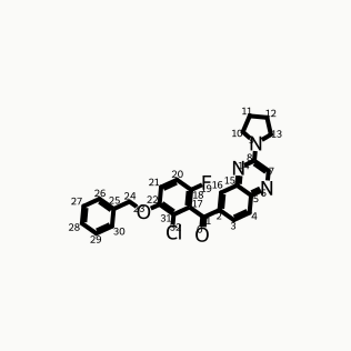 O=C(c1ccc2ncc(N3CCCC3)nc2c1)c1c(F)ccc(OCc2ccccc2)c1Cl